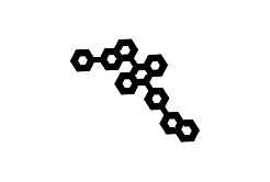 c1ccc(-c2ccc3c(-c4c5ccccc5c(-c5ccc(-c6ccc7ccccc7c6)cc5)c5ccccc45)cccc3c2)cc1